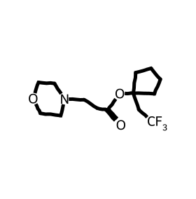 O=C(CCN1CCOCC1)OC1(CC(F)(F)F)CCCC1